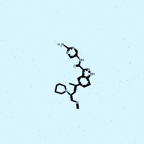 C=N/C=C(\C=C(/C)c1ccc2[nH]nc(C(=O)Nc3cnc(N)nc3)c2c1)N1CCCCC1